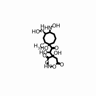 C[C@@H]1CC(NO)C(NO)CCCC1(O)C(=O)C(O)C1(O)CC(=O)ONOC1=O